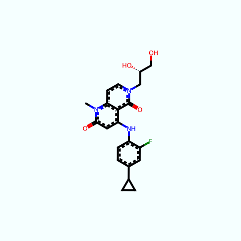 Cn1c(=O)cc(Nc2ccc(C3CC3)cc2F)c2c(=O)n(C[C@H](O)CO)ccc21